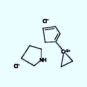 C1=CC[C]([Cr+2]2[CH2][CH2]2)=C1.C1CCNC1.[Cl-].[Cl-]